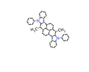 Cc1c2ccc3c4c(ccc(c24)c2c4ccccc4n(-c4ccccc4)c12)c(C)c1c3c2ccccc2n1-c1ccccc1